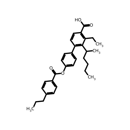 CCCCC(C)c1c(-c2ccc(OC(=O)c3ccc(CCC)cc3)cc2)ccc(C(=O)O)c1CC